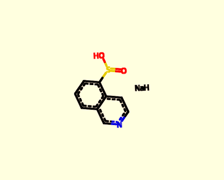 O=S(O)c1cccc2cnccc12.[NaH]